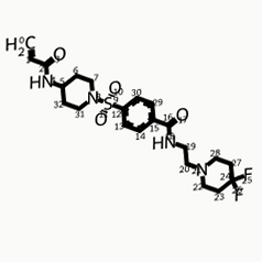 C=CC(=O)NC1CCN(S(=O)(=O)c2ccc(C(=O)NCCN3CCC(F)(F)CC3)cc2)CC1